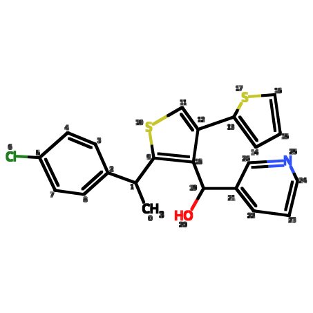 CC(c1ccc(Cl)cc1)c1scc(-c2cccs2)c1C(O)c1cccnc1